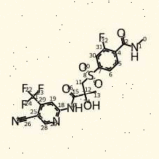 CNC(=O)c1ccc(S(=O)(=O)C[C@](C)(O)C(=O)Nc2cc(C(F)(F)F)c(C#N)cn2)cc1F